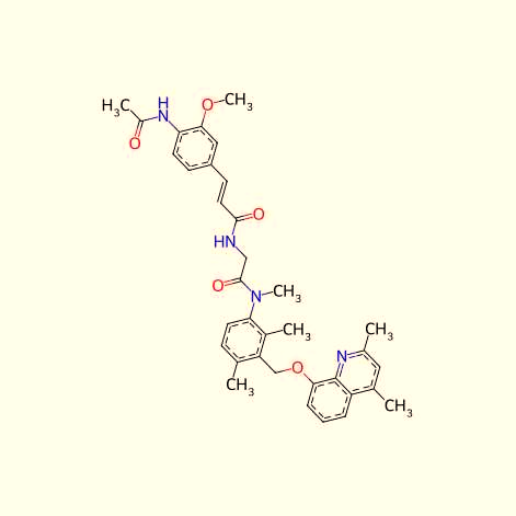 COc1cc(/C=C/C(=O)NCC(=O)N(C)c2ccc(C)c(COc3cccc4c(C)cc(C)nc34)c2C)ccc1NC(C)=O